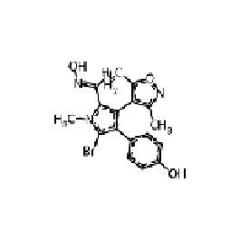 Cc1noc(C)c1-c1c(-c2ccc(O)cc2)c(Br)n(C)c1/C(N)=N/O